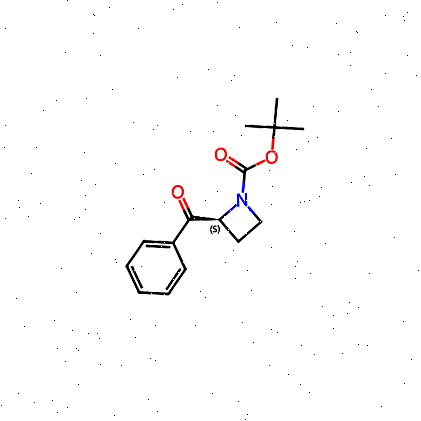 CC(C)(C)OC(=O)N1CC[C@H]1C(=O)c1ccccc1